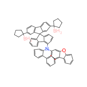 BC1(c2ccc3c(c2)C2(c4cc(C5(B)CCCC5)ccc4-3)c3ccccc3-c3c(N(c4ccc5c(c4)oc4ccccc45)c4ccccc4-c4ccccc4)cccc32)CCCC1